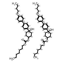 CCCCCCCOC(=O)OC1CCC(O)(c2ccc(-c3ccc(OCCCC)cc3)cc2)CC1.CCCCCCOC(=O)OC1CCC(O)(c2ccc(-c3ccc(OCCCC)cc3)cc2)CC1